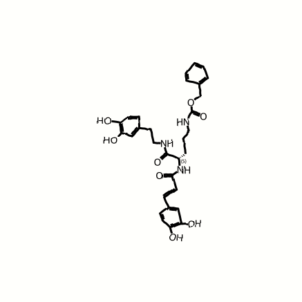 O=C(C=Cc1ccc(O)c(O)c1)N[C@@H](CCCNC(=O)OCc1ccccc1)C(=O)NCCc1ccc(O)c(O)c1